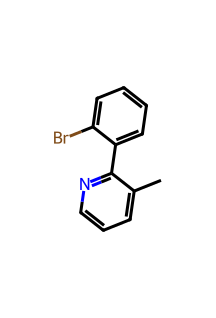 Cc1cccnc1-c1ccccc1Br